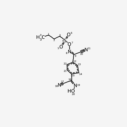 CCCCS(=O)(=O)ON=C(C#N)c1ccc(C(C#N)=NO)cc1